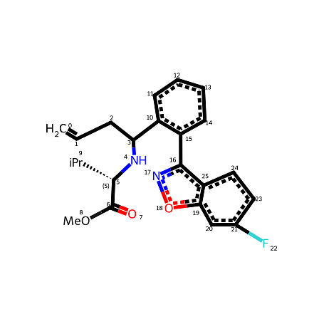 C=CCC(N[C@H](C(=O)OC)C(C)C)c1ccccc1-c1noc2cc(F)ccc12